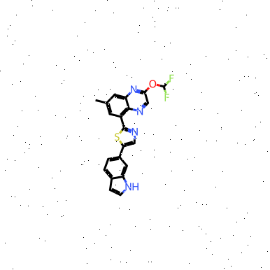 Cc1cc(-c2ncc(-c3ccc4cc[nH]c4c3)s2)c2ncc(OC(F)F)nc2c1